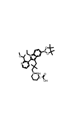 CCn1c(-c2cccnc2C(C)OC)c(CC(C)(C)CN2CCC[C@@H](C(=O)O)N2)c2cc(B3OC(C)(C)C(C)(C)O3)ccc21